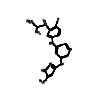 Cc1cc(Nc2cncc(Nc3ccc(F)c(NC(C)C)c3)n2)n[nH]1